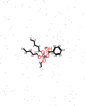 CCCCCO[Si](OCC)(OCCCCC)OC(O)c1ccccc1